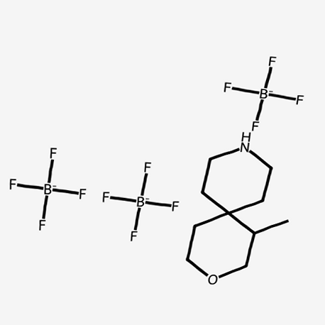 CC1COCCC12CCNCC2.F[B-](F)(F)F.F[B-](F)(F)F.F[B-](F)(F)F